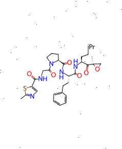 Cc1ncc(C(=O)NCC(=O)N2CCC[C@H]2C(=O)N[C@@H](CCc2ccccc2)C(=O)N[C@@H](CCC(C)C)C(=O)[C@@]2(C)CO2)s1